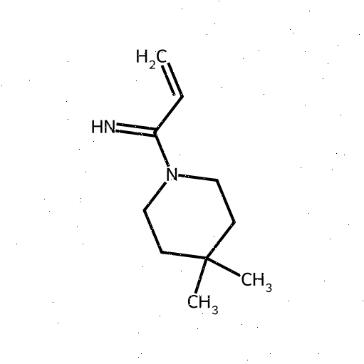 C=CC(=N)N1CCC(C)(C)CC1